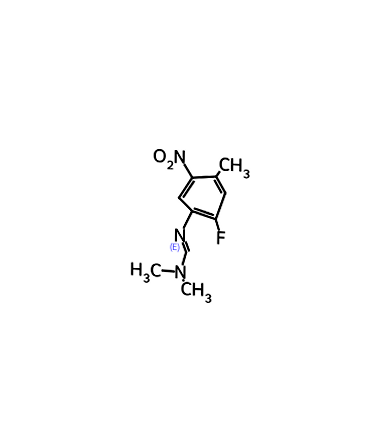 Cc1cc(F)c(/N=C/N(C)C)cc1[N+](=O)[O-]